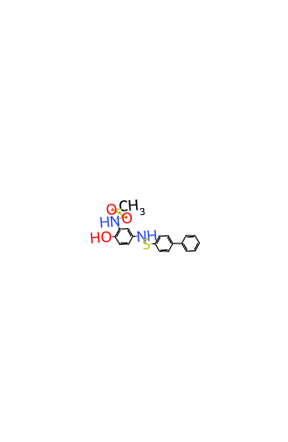 CS(=O)(=O)Nc1cc(NSc2ccc(-c3ccccc3)cc2)ccc1O